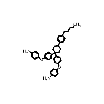 CCCCCc1ccc(C2CCC(c3ccc(Oc4ccc(N)cc4)cc3)(c3ccc(Oc4ccc(N)cc4)cc3)CC2)cc1